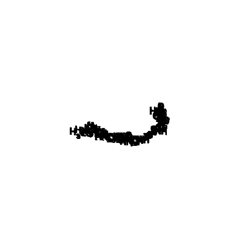 CNC(=O)c1ccccc1Nc1nc(Nc2ccc(N3CCN(C(=O)N[C@H]4CC[C@@H](NCCCOCCC(=O)Nc5ccc6c(c5)CN(C5CCC(=O)NC5=O)C6=O)CC4)CC3)cc2)ncc1Cl